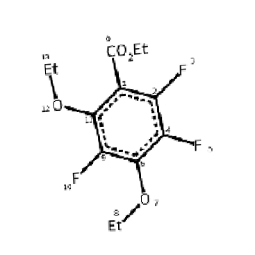 CCOC(=O)c1c(F)c(F)c(OCC)c(F)c1OCC